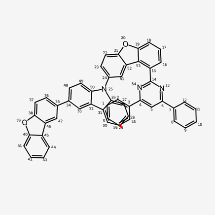 c1ccc(-c2cc(-c3ccccc3)nc(-c3cccc4oc5ccc(-n6c7ccccc7c7cc(-c8ccc9oc%10ccccc%10c9c8)ccc76)cc5c34)n2)cc1